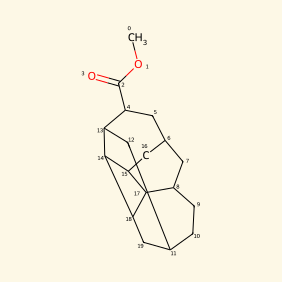 COC(=O)C1CC2CC3CCC4CC1C1C(C2)C3C1C4